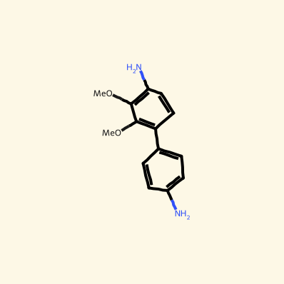 COc1c(N)ccc(-c2ccc(N)cc2)c1OC